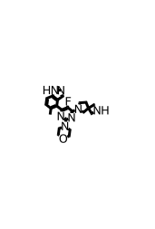 Cc1ccc2[nH]ncc2c1-c1nc(N2CCOCC2)nc(N2CCC3(CNC3)C2)c1F